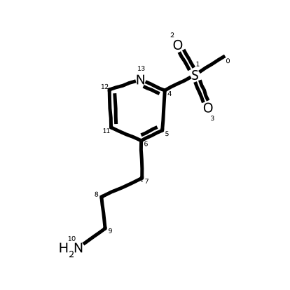 CS(=O)(=O)c1cc([CH]CCN)ccn1